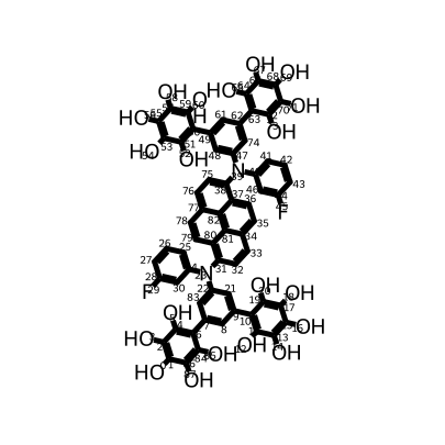 Oc1c(O)c(O)c(-c2cc(-c3c(O)c(O)c(O)c(O)c3O)cc(N(c3cccc(F)c3)c3ccc4ccc5c(N(c6cccc(F)c6)c6cc(-c7c(O)c(O)c(O)c(O)c7O)cc(-c7c(O)c(O)c(O)c(O)c7O)c6)ccc6ccc3c4c65)c2)c(O)c1O